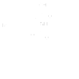 O=C(NC1(C(=O)O)CCC2C(Br)CCCC2C1)OCC1c2ccccc2-c2ccccc21